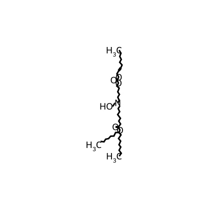 CCCCCCC#CCOC(=O)OCCCCCCN(CCO)CCCCCCCC(=O)OC(CCCCCCCC)CCCCCCCC